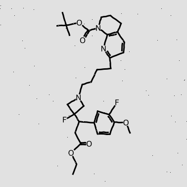 CCOC(=O)CC(c1ccc(OC)c(F)c1)C1(F)CN(CCCCc2ccc3c(n2)N(C(=O)OC(C)(C)C)CCC3)C1